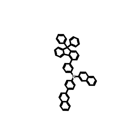 c1ccc(C2(c3ccccc3)c3ccccc3-c3c(-c4cccc(N(c5ccc(-c6ccc7ccccc7c6)cc5)c5ccc6ccccc6c5)c4)cccc32)cc1